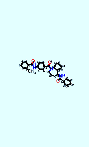 Cc1ccccc1C(=O)Nc1ccc(C(=O)N2CCCC(NC(=O)c3ccccc3)c3ccccc32)cc1